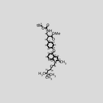 COC(=O)C(CNC(=O)OC(C)(C)C)Cc1ccc(Oc2ccnc3c2cc(C)n3COCCS(C)(C)C)cc1